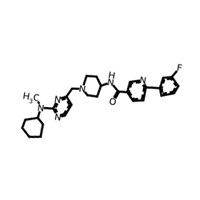 CN(c1nccc(CN2CCC(NC(=O)c3ccc(-c4cccc(F)c4)nc3)CC2)n1)C1CCCCC1